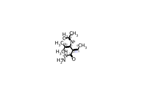 C/C=C(/C(=O)NN)C(N=C(C)C)=C(C)C